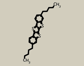 CCCCCc1ccc2c(c1)sc1c2sc2c3ccc(CCCCC)cc3sc21